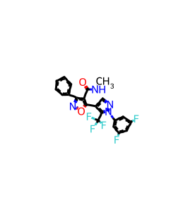 CNC(=O)c1c(-c2ccccc2)noc1-c1cnn(-c2cc(F)cc(F)c2)c1C(F)(F)F